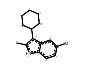 Cc1[nH]c2ccc(Cl)cc2c1C1CCCCC1